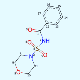 O=C(NS(=O)(=O)N1CCOCC1)c1ccccc1